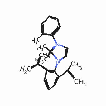 Cc1ccccc1N1C=CN(c2c(C(C)C)cccc2C(C)C)C1(C)C